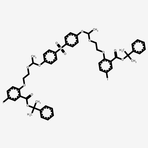 CC(OCCOc1ccc(I)cc1C(=O)OC(C)(C)c1ccccc1)Oc1ccc(S(=O)(=O)c2ccc(OC(C)OCCOc3ccc(I)cc3C(=O)OC(C)(C)c3ccccc3)cc2)cc1